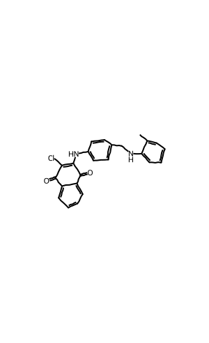 Cc1ccccc1NCc1ccc(NC2=C(Cl)C(=O)c3ccccc3C2=O)cc1